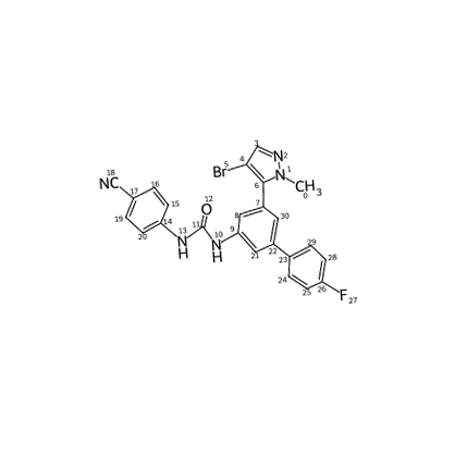 Cn1ncc(Br)c1-c1cc(NC(=O)Nc2ccc(C#N)cc2)cc(-c2ccc(F)cc2)c1